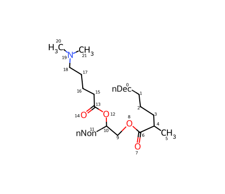 CCCCCCCCCCCCCC(C)C(=O)OCC(CCCCCCCCC)OC(=O)CCCCN(C)C